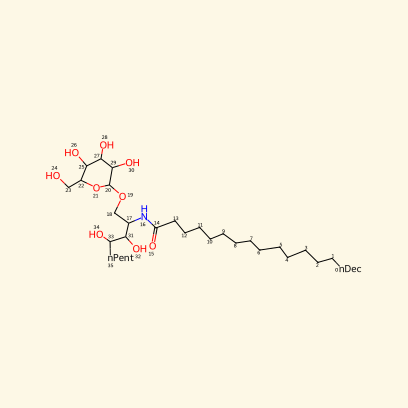 CCCCCCCCCCCCCCCCCCCCCCCC(=O)NC(COC1OC(CO)C(O)C(O)C1O)C(O)C(O)CCCCC